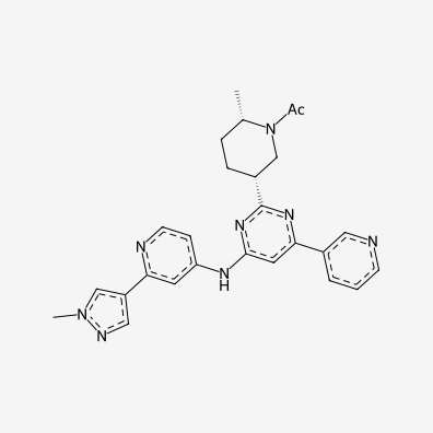 CC(=O)N1C[C@H](c2nc(Nc3ccnc(-c4cnn(C)c4)c3)cc(-c3cccnc3)n2)CC[C@@H]1C